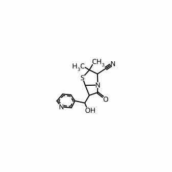 CC1(C)SC2C(C(O)c3cccnc3)C(=O)N2C1C#N